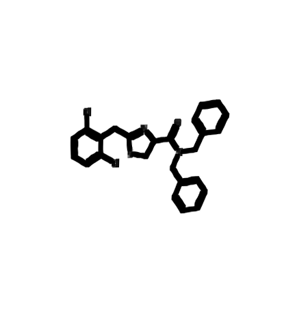 O=C(C1CSC(Cc2c(Cl)cccc2Cl)=N1)N(Cc1ccccc1)Cc1ccccc1